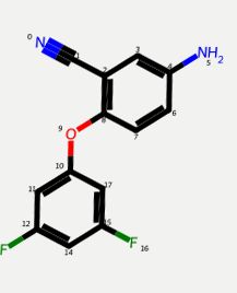 N#Cc1cc(N)ccc1Oc1cc(F)cc(F)c1